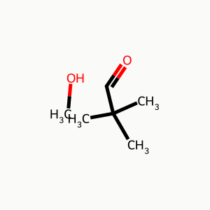 CC(C)(C)C=O.CO